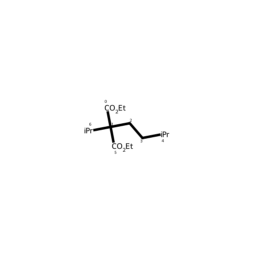 CCOC(=O)C(CCC(C)C)(C(=O)OCC)C(C)C